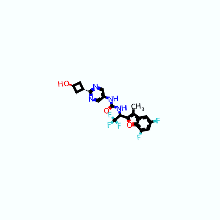 Cc1c(C(NC(=O)Nc2cnc([C@H]3C[C@H](O)C3)nc2)C(F)(F)F)oc2c(F)cc(F)cc12